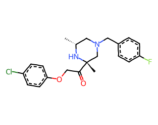 C[C@@H]1CN(Cc2ccc(F)cc2)C[C@](C)(C(=O)COc2ccc(Cl)cc2)N1